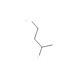 [CH2]CCCCC(C)CC